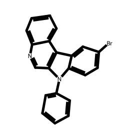 Brc1ccc2c(c1)c1c3ccccc3ncc1n2-c1ccccc1